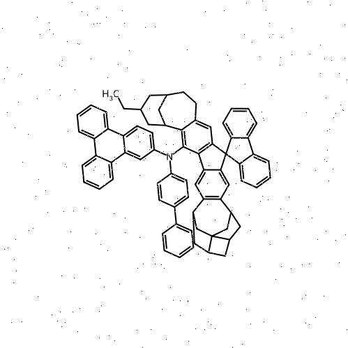 CCC1CC2CCc3cc4c(c(N(c5ccc(-c6ccccc6)cc5)c5ccc6c7ccccc7c7ccccc7c6c5)c3C(C1)C2)-c1cc2c(cc1C41c3ccccc3-c3ccccc31)C1CC3CC4CC2CC43C1